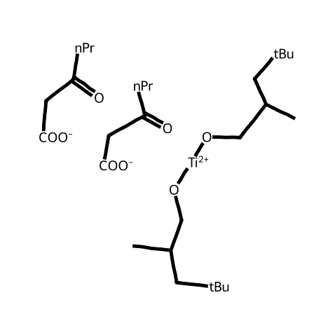 CC(C[O][Ti+2][O]CC(C)CC(C)(C)C)CC(C)(C)C.CCCC(=O)CC(=O)[O-].CCCC(=O)CC(=O)[O-]